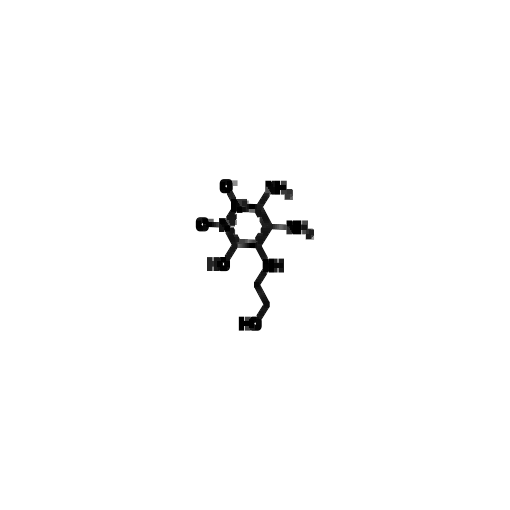 Nc1c(NCCO)c(O)[n+]([O-])[n+]([O-])c1N